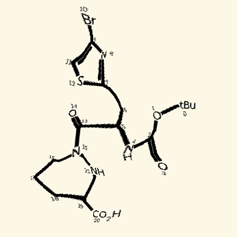 CC(C)(C)OC(=O)NC(Cc1nc(Br)cs1)C(=O)N1CCCC(C(=O)O)N1